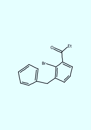 CCC(=O)c1cccc(Cc2ccccc2)c1Br